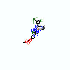 CCOC(=O)COC1CCN(c2ncnc(Nc3nc(-c4cc(Cl)cc(C(F)(F)F)c4)c(CN4[C@H](C)CC[C@H]4N)s3)c2F)CC1